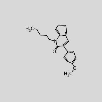 CCCCCn1c(=O)c(-c2ccc(OC)cc2)cc2ccccc21